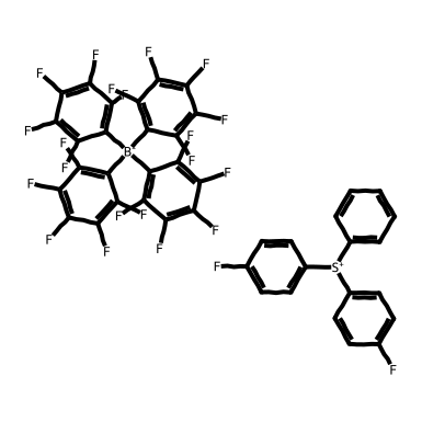 Fc1c(F)c(F)c([B-](c2c(F)c(F)c(F)c(F)c2F)(c2c(F)c(F)c(F)c(F)c2F)c2c(F)c(F)c(F)c(F)c2F)c(F)c1F.Fc1ccc([S+](c2ccccc2)c2ccc(F)cc2)cc1